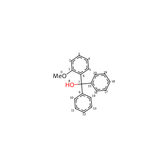 COc1ccccc1C(O)(c1ccccc1)c1ccccc1